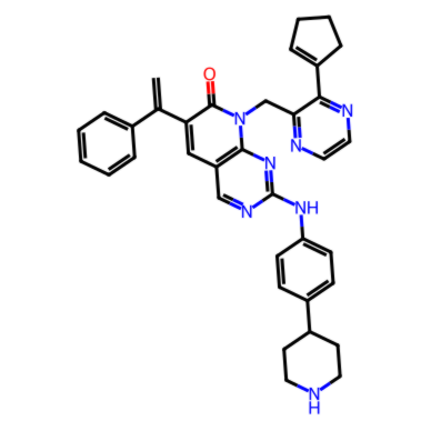 C=C(c1ccccc1)c1cc2cnc(Nc3ccc(C4CCNCC4)cc3)nc2n(Cc2nccnc2C2=CCCC2)c1=O